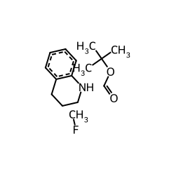 CC(C)(C)OC=O.CF.c1ccc2c(c1)CCCN2